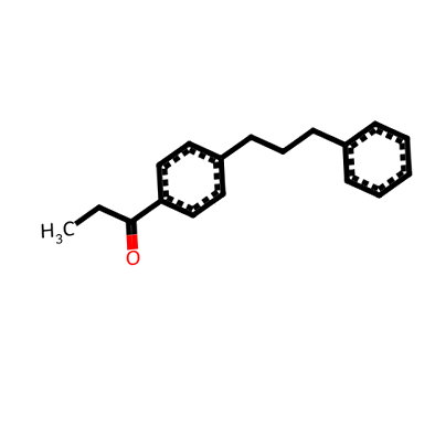 CCC(=O)c1ccc(CCCc2ccccc2)cc1